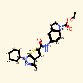 CCOC(=O)N1CCc2cc(NC(=O)c3cc4c(C)nn(C5CCCCC5)c4s3)ccc21